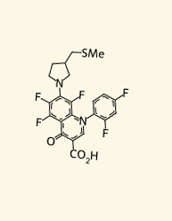 CSCC1CCN(c2c(F)c(F)c3c(=O)c(C(=O)O)cn(-c4ccc(F)cc4F)c3c2F)C1